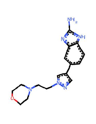 Nc1nc2cc(-c3cnn(CCN4CCOCC4)c3)ccc2[nH]1